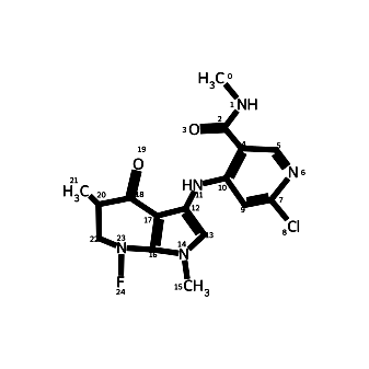 CNC(=O)c1cnc(Cl)cc1Nc1cn(C)c2c1C(=O)C(C)CN2F